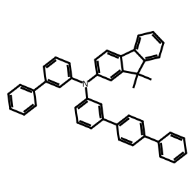 CC1(C)c2ccccc2-c2ccc(N(c3cccc(-c4ccccc4)c3)c3cccc(-c4ccc(-c5ccccc5)cc4)c3)cc21